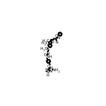 CN(CCOC(=O)NCc1ccc(COc2nc(N)nc3[nH]cnc23)cc1)c1ccc2c(c1)C(C)(C)c1cc(/C=C(\C#N)c3nc4ccccc4o3)sc1-2